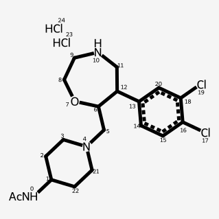 CC(=O)NC1CCN(CC2OCCNCC2c2ccc(Cl)c(Cl)c2)CC1.Cl.Cl